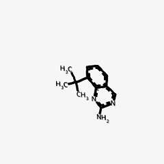 CC(C)(C)c1cccc2cnc(N)nc12